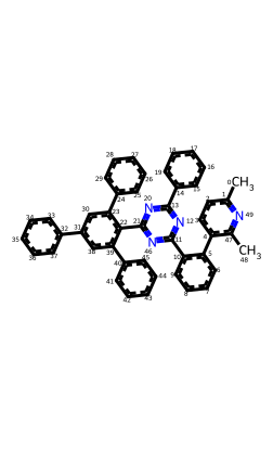 Cc1ccc(-c2ccccc2-c2nc(-c3ccccc3)nc(-c3c(-c4ccccc4)cc(-c4ccccc4)cc3-c3ccccc3)n2)c(C)n1